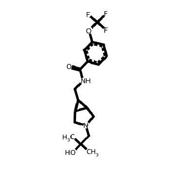 CC(C)(O)CN1CC2C(CNC(=O)c3cccc(OC(F)(F)F)c3)C2C1